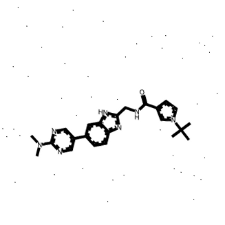 CN(C)c1ncc(-c2ccc3nc(CNC(=O)c4ccn(C(C)(C)C)c4)[nH]c3c2)cn1